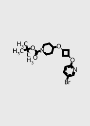 CC(C)(C)OC(=O)N1CCC(O[C@H]2C[C@H](Oc3ccc(Br)cn3)C2)CC1